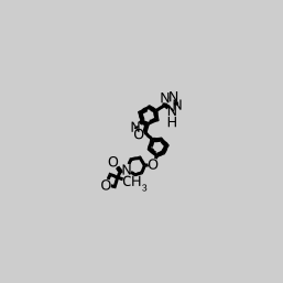 CC1(C(=O)N2CCC(Oc3cccc(-c4onc5ccc(-c6nnn[nH]6)cc45)c3)CC2)COC1